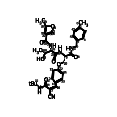 Cc1ccc(CNC(=O)[C@H](COc2ccc(C=C(C#N)C(=O)NC(C)(C)C)cc2)NC(=O)[C@@H](NC(=O)c2cc(C)on2)[C@@H](C)O)cc1